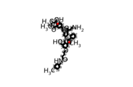 COc1cc(OCCCC(=O)NCc2ccc(C)cc2)cc(CO)c1CN(C(=O)c1ccccc1)[C@@H]1C[C@@H](COc2cccc(C(=O)N(C)[C@@H](C)C(=O)O)c2)N(C(=O)CCN)C1